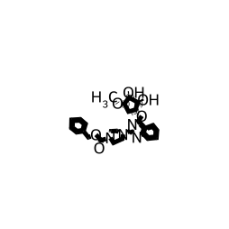 CO[C@@H]1C[C@H](Oc2nc(N3CCN(C(=O)OCc4ccccc4)CC3)nc3ccccc23)[C@H](O)[C@H]1O